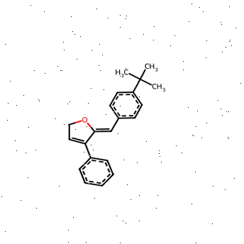 CC(C)(C)c1ccc(C=C2OCC=C2c2ccccc2)cc1